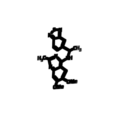 COc1cc2nc(C)nc(NC(C)c3ccc4nsnc4c3)c2cc1OC